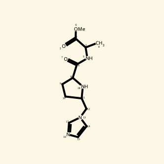 COC(=O)C(C)NC(=O)C1CCC(Cn2ccnc2)N1